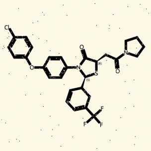 O=C(C[C@H]1S[C@@H](C2C=CC=C(C(F)(F)F)C2)N(c2ccc(Oc3ccc(Cl)cc3)cc2)C1=O)N1CCCC1